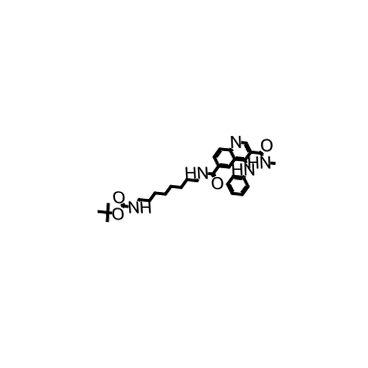 CNC(=O)c1cnc2ccc(C(=O)NCCCCCCCCNC(=O)OC(C)(C)C)cc2c1Nc1ccccc1